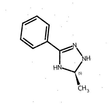 C[C@@H]1NN=C(c2ccccc2)N1